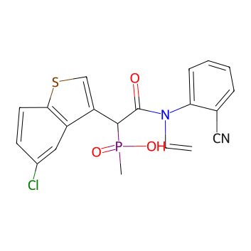 C=CN(C(=O)C(c1csc2ccc(Cl)cc12)P(C)(=O)O)c1ccccc1C#N